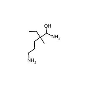 CCC(C)(CCCN)C(N)O